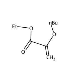 C=C(OCCCC)C(=O)OCC